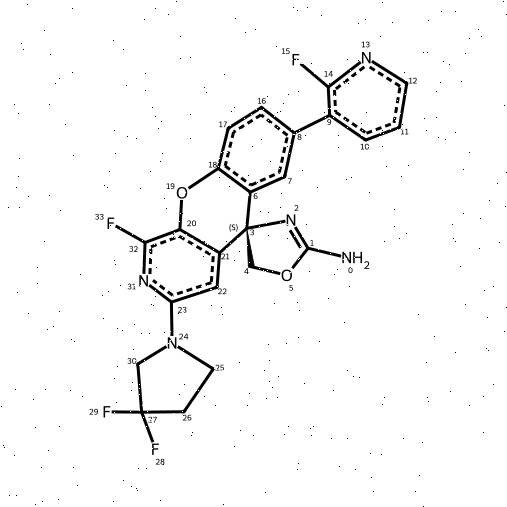 NC1=N[C@@]2(CO1)c1cc(-c3cccnc3F)ccc1Oc1c2cc(N2CCC(F)(F)C2)nc1F